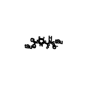 CC(N[S+]([O-])C(C)(C)C)c1ccn(C(=O)OC(C)(C)C)n1